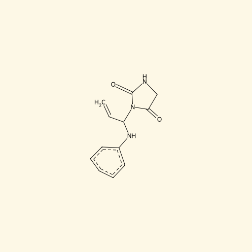 C=CC(Nc1ccccc1)N1C(=O)CNC1=O